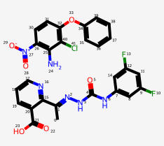 C/C(=N\NC(=O)Nc1cc(F)cc(F)c1)c1ncccc1C(=O)O.Nc1c([N+](=O)[O-])ccc(Oc2ccccc2)c1Cl